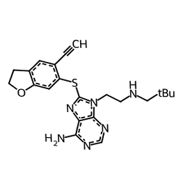 C#Cc1cc2c(cc1Sc1nc3c(N)ncnc3n1CCNCC(C)(C)C)OCC2